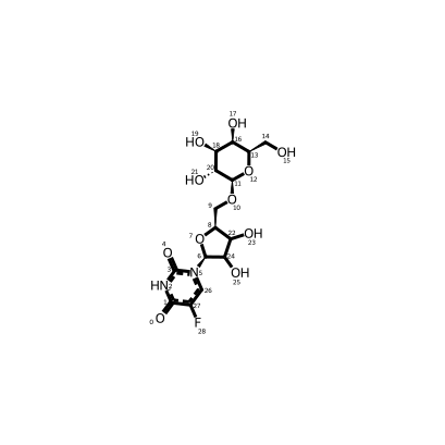 O=c1[nH]c(=O)n([C@H]2O[C@@H](CO[C@@H]3O[C@H](CO)[C@H](O)[C@H](O)[C@H]3O)C(O)C2O)cc1F